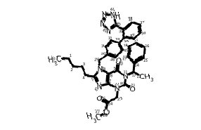 CCCCCc1nc2c(c(=O)n(C(C)c3ccccc3)c(=O)n2CC(=O)OC)n1Cc1ccc(-c2ccccc2-c2nnn[nH]2)cc1